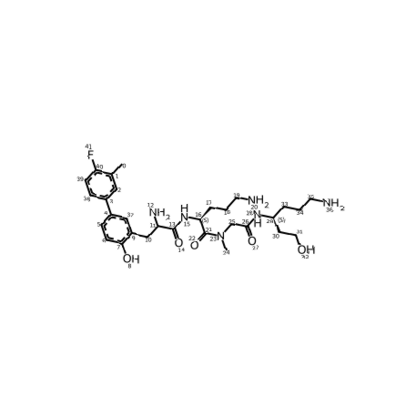 Cc1cc(-c2ccc(O)c(CC(N)C(=O)N[C@@H](CCCN)C(=O)N(C)CC(=O)N[C@H](CCO)CCCN)c2)ccc1F